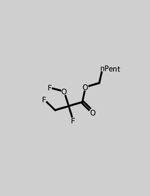 CCCCCCOC(=O)C(F)(CF)OF